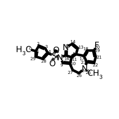 Cc1ccc(S(=O)(=O)n2cc3c4c(ccnc42)-c2cc(F)ccc2N(C)CC3)cc1